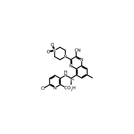 Cc1cc([C@@H](C)Nc2ccc(Cl)nc2C(=O)O)c2nc(N3CCS(=O)(=O)CC3)c(C#N)nc2c1